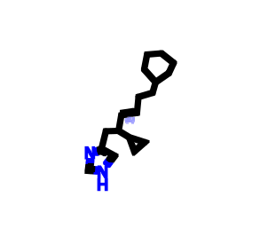 C(=C\C(Cc1c[nH]cn1)C1CC1)/CCC1CCCCC1